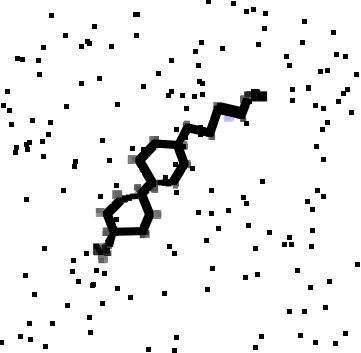 CCCC/C=C/CC[C@H]1CC[C@H]([C@H]2CC[C@H](C#N)CC2)CC1